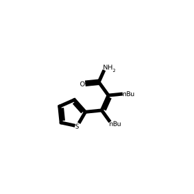 CCCCC(C(N)=O)=C(CCCC)c1cccs1